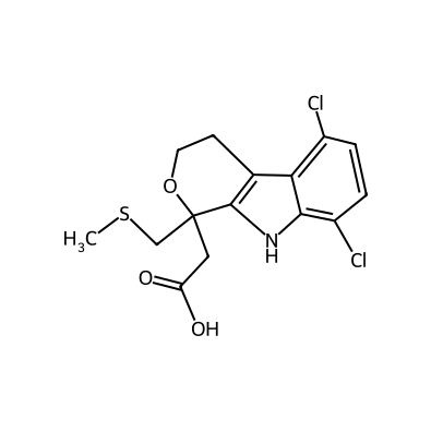 CSCC1(CC(=O)O)OCCc2c1[nH]c1c(Cl)ccc(Cl)c21